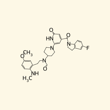 CNc1ccc(OC)cc1CCN(C=O)C1CCN(c2cc(C(=O)N3CCc4cc(F)ccc43)cc(=O)[nH]2)CC1